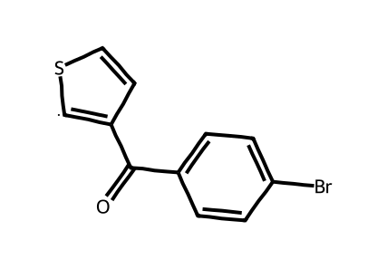 O=C(c1[c]scc1)c1ccc(Br)cc1